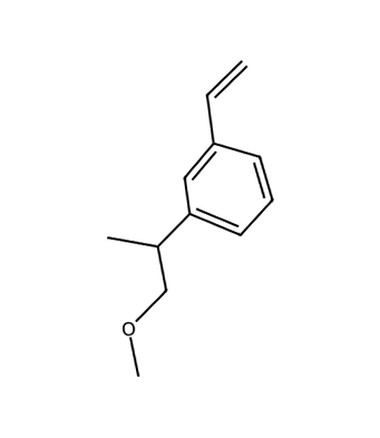 C=Cc1cccc(C(C)COC)c1